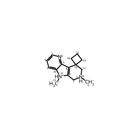 [CH2-][NH+]1CC2=C(c3ncccc3[NH+]2[CH2-])C2(CCC2)C1